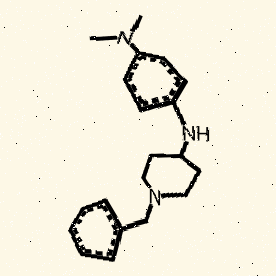 CN(C)c1ccc(NC2CCN(Cc3ccccc3)CC2)cc1